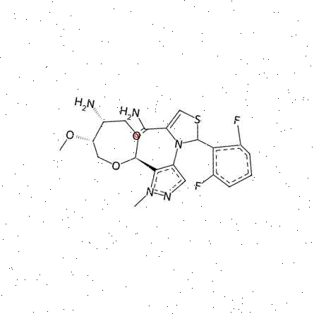 CO[C@H]1CO[C@H](c2c(N3C(C(N)=O)=CSC3c3c(F)cccc3F)cnn2C)CC[C@H]1N